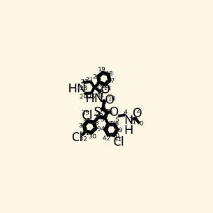 CC(=O)NCCOc1c(C(=O)NC(=O)C2(c3ccccc3)CCNCC2)sc(-c2ccc(Cl)cc2Cl)c1-c1ccc(Cl)cc1